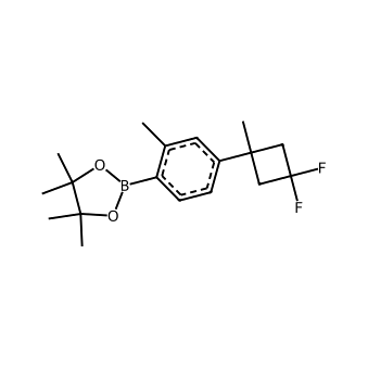 Cc1cc(C2(C)CC(F)(F)C2)ccc1B1OC(C)(C)C(C)(C)O1